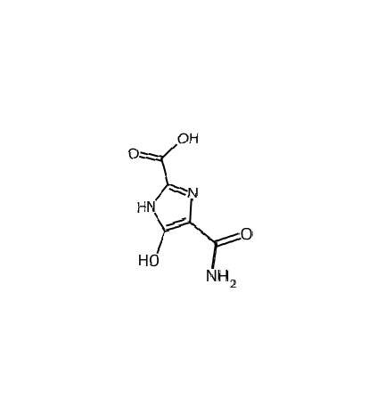 NC(=O)c1nc(C(=O)O)[nH]c1O